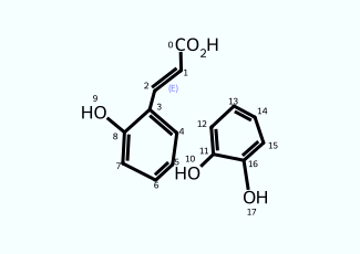 O=C(O)/C=C/c1ccccc1O.Oc1ccccc1O